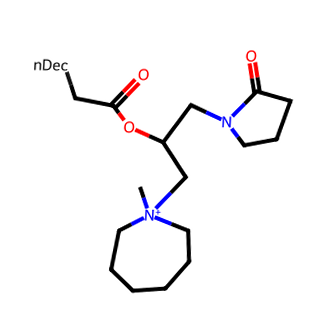 CCCCCCCCCCCC(=O)OC(CN1CCCC1=O)C[N+]1(C)CCCCCC1